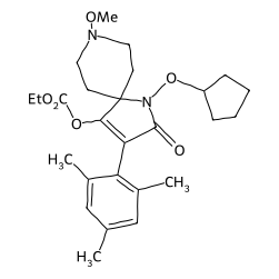 CCOC(=O)OC1=C(c2c(C)cc(C)cc2C)C(=O)N(OC2CCCC2)C12CCN(OC)CC2